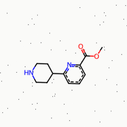 COC(=O)c1cccc(C2CCNCC2)n1